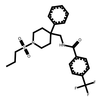 CCCS(=O)(=O)N1CCC(CNC(=O)c2ccc(C(F)(F)F)cc2)(c2ccccc2)CC1